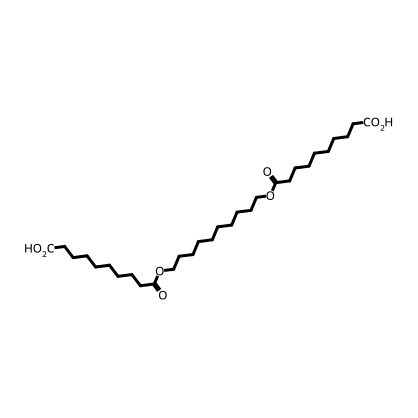 O=C(O)CCCCCCCCC(=O)OCCCCCCCCCCOC(=O)CCCCCCCCC(=O)O